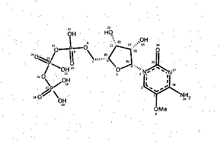 COc1cn([C@@H]2O[C@H](COP(=O)(O)OP(=O)(O)OP(=O)(O)O)[C@H](O)[C@@H]2O)c(=O)nc1N